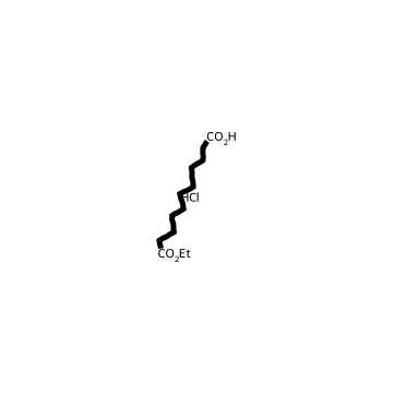 CCOC(=O)CCCCCCCCCC(=O)O.Cl